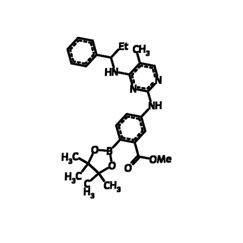 CCC(Nc1nc(Nc2ccc(B3OC(C)(C)C(C)(C)O3)c(C(=O)OC)c2)ncc1C)c1ccccc1